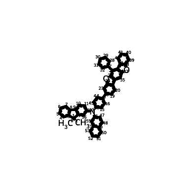 CC1(C)c2ccccc2-c2ccc(N(c3ccc(-c4ccc5c(c4)oc4c(-c6ccccc6)c6c(cc45)oc4ccccc46)cc3)c3ccc4ccccc4c3)cc21